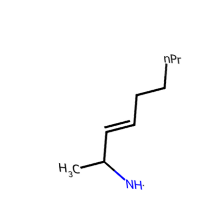 CCCCCC=CC(C)[NH]